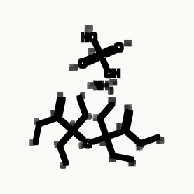 C=C(CC)C(CC)(CC)OC(CC)(CC)C(=C)CC.N.O=S(=O)(O)O